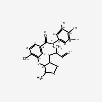 CC(C=O)CC1CCC(C)C1Sc1cc(C(=O)Nc2cc(F)c(F)c(F)c2)ccc1Cl